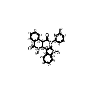 Cc1cccc(NC(=O)C2c3ccccc3C(=O)N(C)C2c2cn(C)c3ccccc23)n1